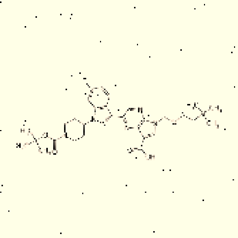 CC(C)(C)OC(=O)N1CCC(n2nc(-c3cnc4c(n3)c(C(=O)O)cn4COCC[Si](C)(C)C)c3ccc(F)cc32)CC1